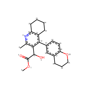 COC(=O)C(O)c1c(C)nc2c(c1-c1ccc3c(c1)CCCO3)CCCC2